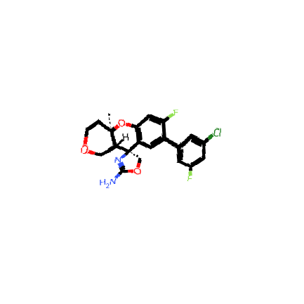 C[C@@]12CCOC[C@H]1[C@@]1(COC(N)=N1)c1cc(-c3cc(F)cc(Cl)c3)c(F)cc1O2